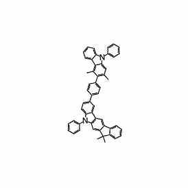 Cc1cc2c(c(C)c1-c1ccc(-c3ccc4c(c3)c3cc5c(cc3n4-c3ccccc3)C(C)(C)c3ccccc3-5)cc1)c1ccccc1n2-c1ccccc1